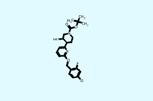 CC(C)(C)OC(=O)N1CCC(c2cccc(OCc3ccc(Cl)cc3F)n2)C(O)C1